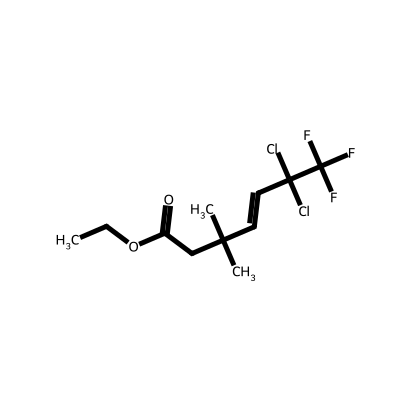 CCOC(=O)CC(C)(C)C=CC(Cl)(Cl)C(F)(F)F